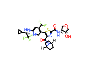 O=C(N[C@@H]1COC[C@H]1O)c1nc(C(=O)N2[C@H]3CC[C@@H]2CC3)c(-c2cnc(N[C@@H](C3CC3)C(F)(F)F)cc2C(F)F)s1